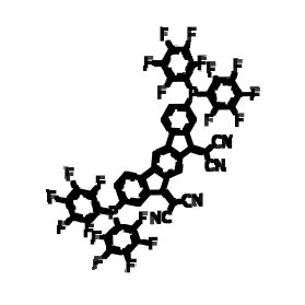 N#CC(C#N)=C1c2cc(P(c3c(F)c(F)c(F)c(F)c3F)c3c(F)c(F)c(F)c(F)c3F)ccc2-c2cc3c(cc21)C(=C(C#N)C#N)c1cc(P(c2c(F)c(F)c(F)c(F)c2F)c2c(F)c(F)c(F)c(F)c2F)ccc1-3